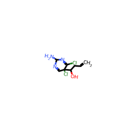 C=CCC(O)C1(Cl)C=NC(N)N=C1Cl